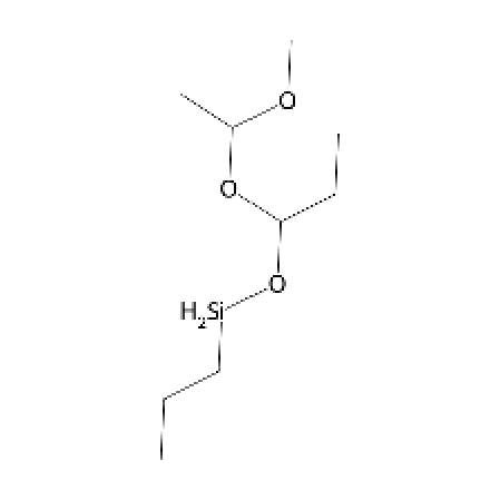 CCC[SiH2]OC(CC)OC(C)OC